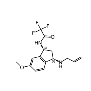 C=CCN[C@@H]1C[C@H](NC(=O)C(F)(F)F)c2cc(OC)ccc21